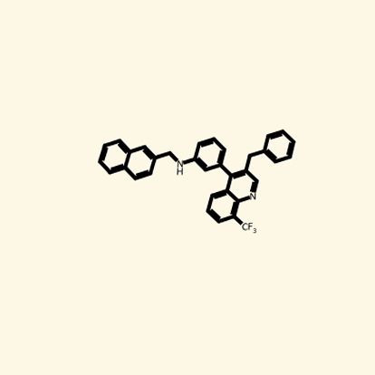 FC(F)(F)c1cccc2c(-c3cccc(NCc4ccc5ccccc5c4)c3)c(Cc3ccccc3)cnc12